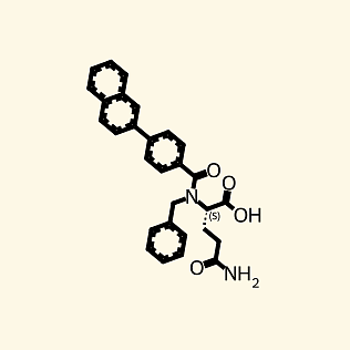 NC(=O)CC[C@@H](C(=O)O)N(Cc1ccccc1)C(=O)c1ccc(-c2ccc3ccccc3c2)cc1